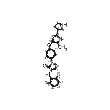 Cc1nc(C2CCNC2)sc1Oc1ccc(-n2ncn(Cc3c(F)cccc3F)c2=O)cc1